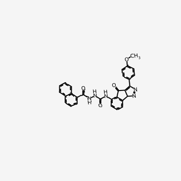 COc1ccc(C2=C3C(=O)c4c(NC(=O)NNC(=O)c5cccc6ccccc56)cccc4C3N=N2)cc1